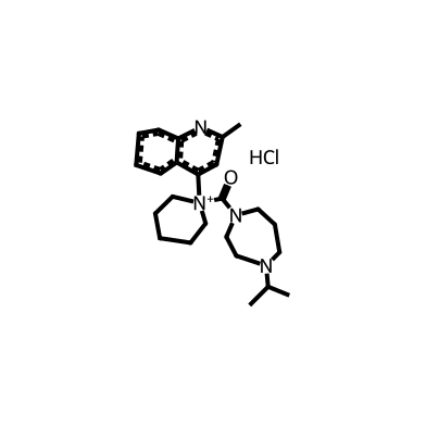 Cc1cc([N+]2(C(=O)N3CCCN(C(C)C)CC3)CCCCC2)c2ccccc2n1.Cl